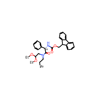 CCOC(CN(CCC(C)C)C(=O)[C@@H](NC(=O)OCC1c2ccccc2-c2ccccc21)c1ccccc1)OCC